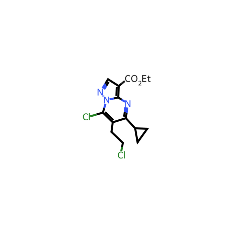 CCOC(=O)c1cnn2c(Cl)c(CCCl)c(C3CC3)nc12